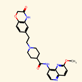 COc1ccc2nccc(NC(=O)C3CCN(CCc4ccc5c(c4)NC(=O)CO5)CC3)c2n1